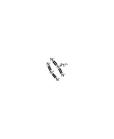 [N-]=[N+]=[N-].[N-]=[N+]=[N-].[Pt+2]